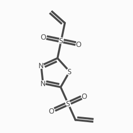 C=CS(=O)(=O)c1nnc(S(=O)(=O)C=C)s1